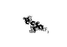 CC(C)N1C(=O)CC2(CCCN(C3CCN(C(=O)c4c(NC(=O)OC(C)(C)C)sc5nc(C(F)(F)F)ccc45)CC3)C2)C1=O